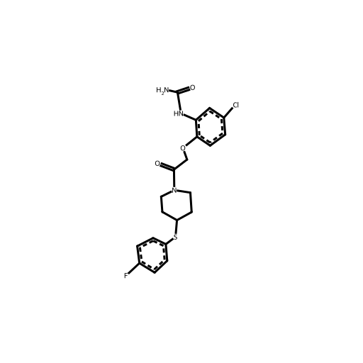 NC(=O)Nc1cc(Cl)ccc1OCC(=O)N1CCC(Sc2ccc(F)cc2)CC1